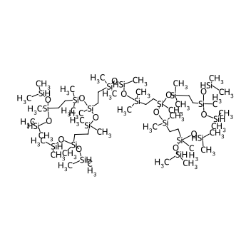 C[SiH](C)O[Si](C)(CC[Si](C)(C)O[Si](C)(CC[Si](C)(C)O[SiH](C)O[Si](C)(C)CC[Si](C)(O[Si](C)(C)CC[Si](C)(O[SiH](C)C)O[SiH](C)C)O[Si](C)(C)CC[Si](C)(O[SiH](C)C)O[SiH](C)C)O[Si](C)(C)CC[Si](C)(O[SiH](C)C)O[SiH](C)C)O[SiH](C)C